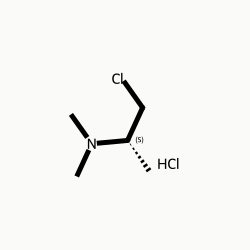 C[C@@H](CCl)N(C)C.Cl